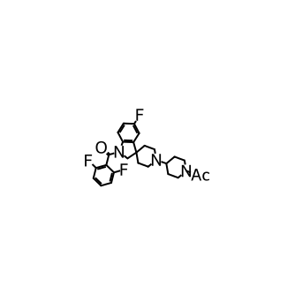 CC(=O)N1CCC(N2CCC3(CC2)CN(C(=O)c2c(F)cccc2F)c2ccc(F)cc23)CC1